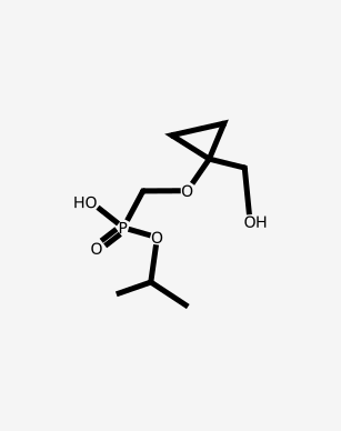 CC(C)OP(=O)(O)COC1(CO)CC1